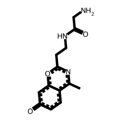 Cc1nc(CCNC(=O)CN)oc2cc(=O)ccc1-2